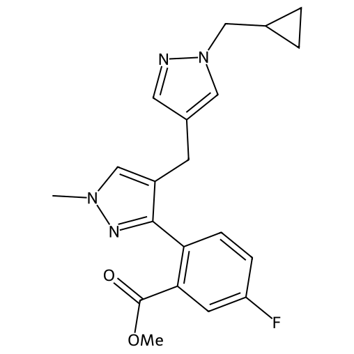 COC(=O)c1cc(F)ccc1-c1nn(C)cc1Cc1cnn(CC2CC2)c1